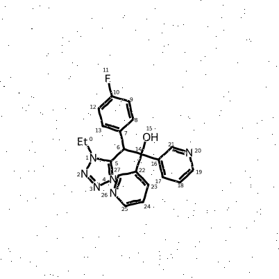 CCn1nnnc1C(c1ccc(F)cc1)C(O)(c1cccnc1)c1cccnc1